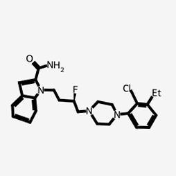 CCc1cccc(N2CCN(C[C@H](F)CCn3c(C(N)=O)cc4ccccc43)CC2)c1Cl